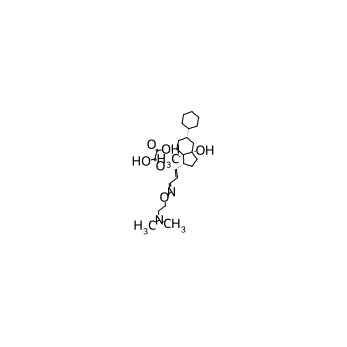 CN(C)CCO/N=C/C=C/[C@H]1CC[C@]2(O)C[C@@H](C3CCCCC3)CC[C@]12C.O=C(O)C(=O)O